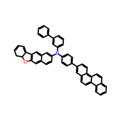 C1=CCC2Oc3cc4ccc(N(c5ccc(-c6ccc7c(ccc8c9ccccc9ccc78)c6)cc5)c5cccc(-c6ccccc6)c5)cc4cc3C2=C1